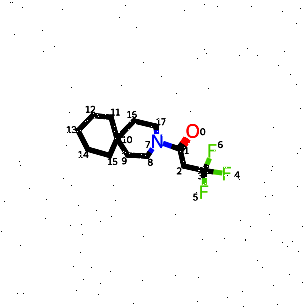 O=C(CC(F)(F)F)N1CCC2(CCCCC2)CC1